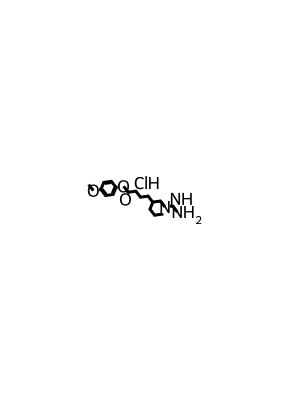 COc1ccc(OC(=O)CCCC2CCCN(C(=N)N)C2)cc1.Cl